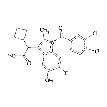 Cc1c(C(C(=O)O)C2CCC2)c2cc(O)c(F)cc2n1C(=O)c1ccc(Cl)c(Cl)c1